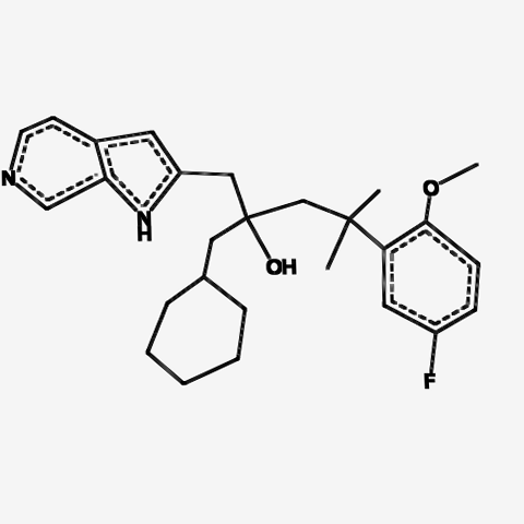 COc1ccc(F)cc1C(C)(C)CC(O)(Cc1cc2ccncc2[nH]1)CC1CCCCC1